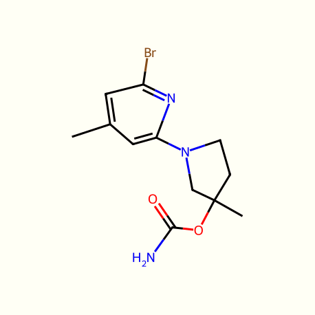 Cc1cc(Br)nc(N2CCC(C)(OC(N)=O)C2)c1